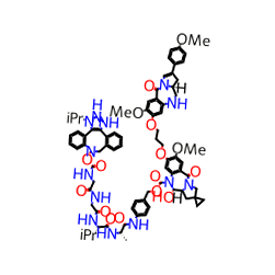 COc1ccc(C2=CN3C(=O)c4cc(OC)c(OCCCOc5cc6c(cc5OC)C(=O)N5CC7(CC7)C[C@H]5[C@H](O)N6C(=O)OCc5ccc(NC(=O)[C@H](C)NC(=O)[C@@H](NC(=O)CNC(=O)CNC(=O)ON6Cc7ccccc7C7=C(c8ccccc86)N(C(C)C)NN7)C(C)C)cc5)cc4NC[C@@H]3C2)cc1